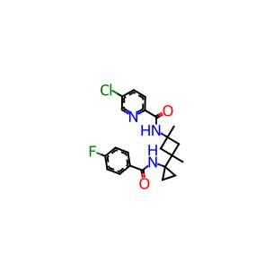 CC1(NC(=O)c2ccc(Cl)cn2)CC(C)(C2(NC(=O)c3ccc(F)cc3)CC2)C1